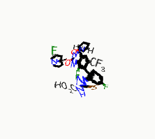 O=C(O)Nc1nc2c(-c3c(C(F)(F)F)cc4c(N5[C@@H]6CC[C@H]5C(=O)C6)nc(OC[C@@]56CCCN5C[C@H](F)C6)nc4c3F)ccc(F)c2s1